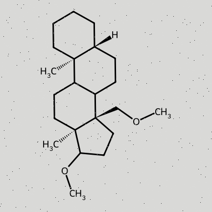 COC[C@@]12CCC(OC)[C@@]1(C)CCC1C2CC[C@H]2CCCC[C@]12C